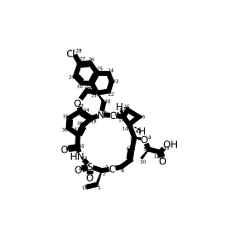 CC[C@@H]1CC/C=C/[C@H](O[C@H](C)C(=O)O)[C@@H]2CC[C@H]2CN2C[C@@]3(CCCc4cc(Cl)ccc43)COc3ccc(cc32)C(=O)NS1(=O)=O